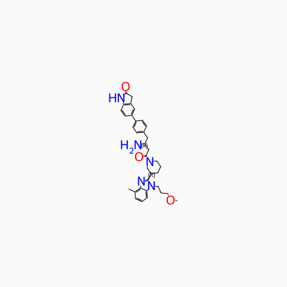 COCCCn1c([C@@H]2CCCN(C(=O)C[C@H](N)Cc3ccc(-c4ccc5c(c4)CC(=O)N5)cc3)C2)nc2c(C)cccc21